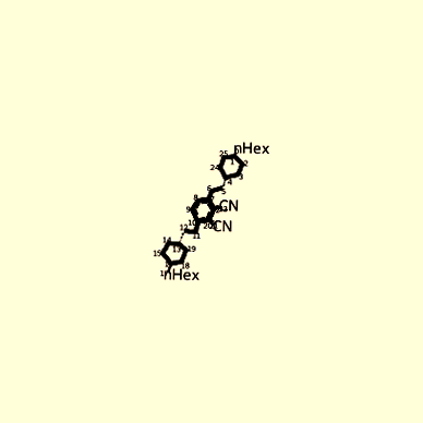 CCCCCC[C@H]1CC[C@H](CCc2ccc(CC[C@H]3CC[C@H](CCCCCC)CC3)c(C#N)c2C#N)CC1